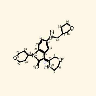 O=C1/C(=C2/COCCN2)c2cc(NCC3CCOC3)ccc2N1C1CCOCC1